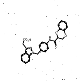 O=C(O)Cc1nn(Cc2ccc(NC(=O)C3COc4ccccc4O3)cc2)c2ccccc12